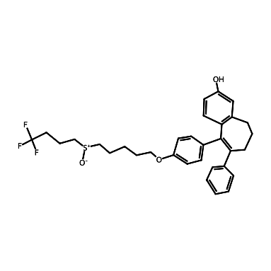 [O-][S+](CCCCCOc1ccc(C2=C(c3ccccc3)CCCc3cc(O)ccc32)cc1)CCCC(F)(F)F